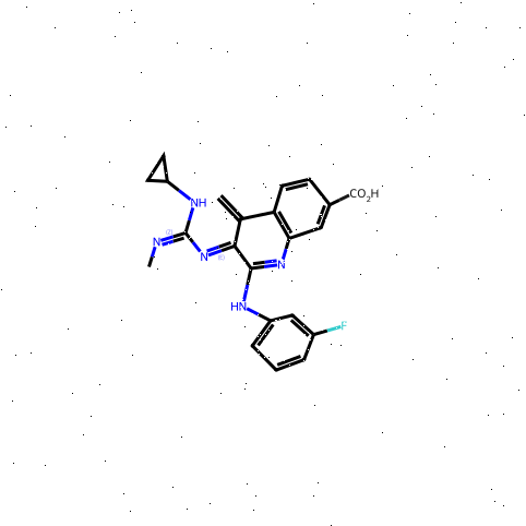 C=C1/C(=N\C(=N/C)NC2CC2)C(Nc2cccc(F)c2)=Nc2cc(C(=O)O)ccc21